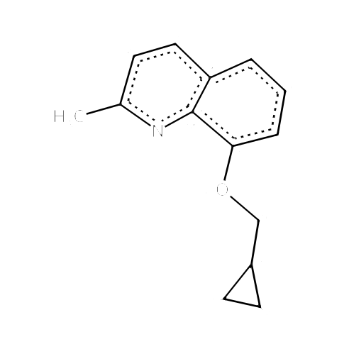 Cc1ccc2cccc(OCC3CC3)c2n1